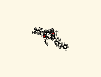 CC1(C)C23COP(=O)(O)O[C@H]4C(n5cnc6c(NC(=O)c7ccccc7)ncnc65)OC(COP(=O)(OCCC#N)[C@H]2[C@@H](F)C(n2cnc5c(=O)[nH]cnc52)O3)[C@H]4O[Si]1(C)C